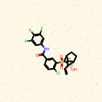 C=C[C@@]1(O)CC2CCC1[C@@H]2S(=O)(=O)c1cc(C(=O)Nc2cc(F)c(F)c(F)c2)ccc1Cl